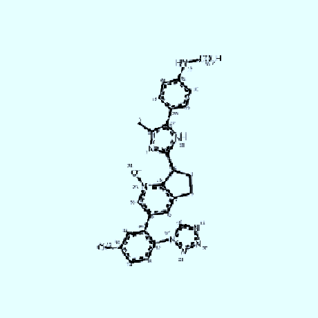 Cc1nc(C2CCc3cc(-c4cc(Cl)ccc4-n4cnnn4)c[n+]([O-])c32)[nH]c1-c1ccc(NC(=O)O)cc1